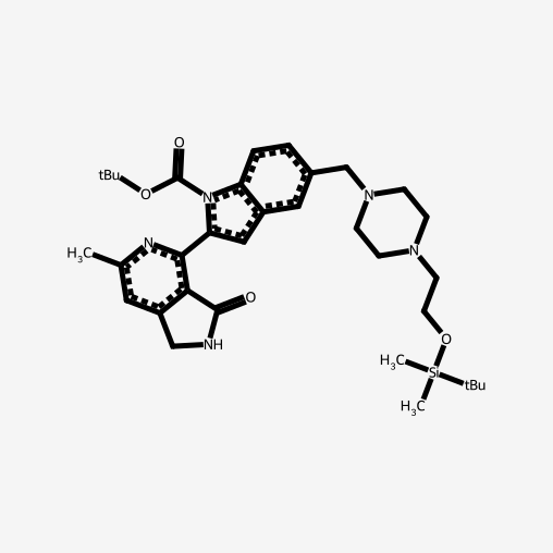 Cc1cc2c(c(-c3cc4cc(CN5CCN(CCO[Si](C)(C)C(C)(C)C)CC5)ccc4n3C(=O)OC(C)(C)C)n1)C(=O)NC2